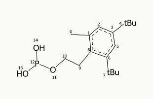 Cc1cc(C(C)(C)C)cc(C(C)(C)C)c1CCOP(O)O